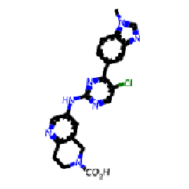 Cn1cnc2cc(-c3nc(Nc4cnc5c(c4)CN(C(=O)O)CC5)ncc3Cl)ccc21